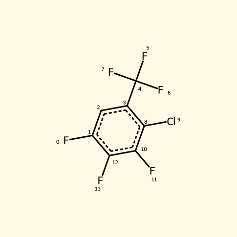 Fc1cc(C(F)(F)F)c(Cl)c(F)c1F